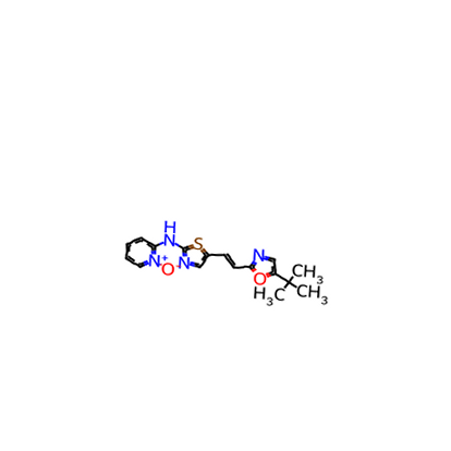 CC(C)(C)c1cnc(/C=C/c2cnc(Nc3cccc[n+]3[O-])s2)o1